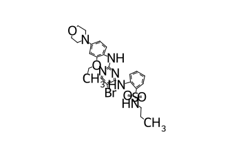 CCCNS(=O)(=O)c1ccccc1Nc1nc(Nc2ccc(N3CCOCC3)cc2OCC)ncc1Br